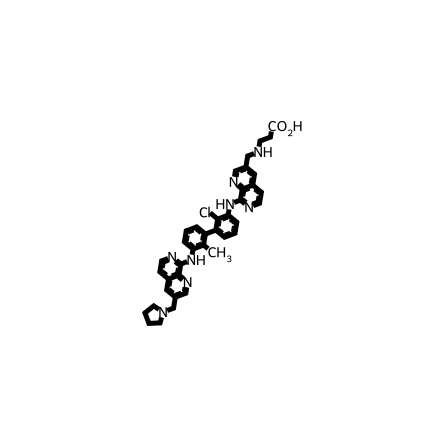 Cc1c(Nc2nccc3cc(CN4CCCC4)cnc23)cccc1-c1cccc(Nc2nccc3cc(CNCCC(=O)O)cnc23)c1Cl